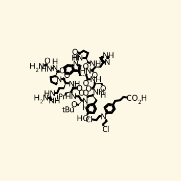 CC(C)C[C@H](NC(=O)[C@@H](COC(C)(C)C)NC(=O)[C@H](Cc1ccc(O)cc1)NC(=O)[C@H](CO)NC(=O)[C@H](Cc1c[nH]c2ccccc12)NC(=O)[C@H](Cc1c[nH]cn1)NC(=O)[C@@H]1CCC(=O)N1)C(=O)N[C@@H](CCCNC(=N)N)C(=O)N1CCC[C@H]1C(=O)NNC(N)=O.O=C(O)CCCc1ccc(N(CCCl)CCCl)cc1